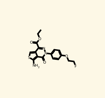 CCOC(=O)c1nn(-c2ccc(OCCF)cc2)c(=O)c2c(N)scc12